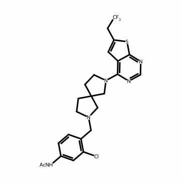 CC(=O)Nc1ccc(CN2CCC3(CCN(c4ncnc5sc(CC(F)(F)F)cc45)C3)C2)c(Cl)c1